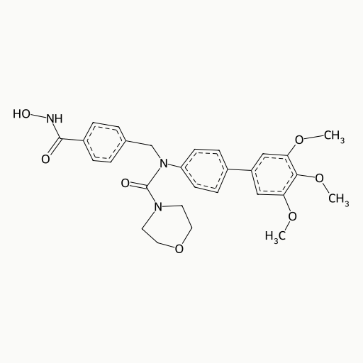 COc1cc(-c2ccc(N(Cc3ccc(C(=O)NO)cc3)C(=O)N3CCOCC3)cc2)cc(OC)c1OC